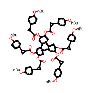 CCCCOc1ccc(C2CC2C(=O)Oc2cc3c4cc(OC(=O)C5CC5c5ccc(OCCCC)cc5)c(OC(=O)C5CC5c5ccc(OCCCC)cc5)cc4c4cc(OC(=O)C5CC5c5ccc(OCCCC)cc5)c(OC(=O)C5CC5c5ccc(OCCCC)cc5)cc4c3cc2OC(=O)C2CC2c2ccc(OCCCC)cc2)cc1